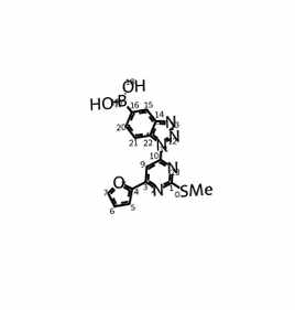 CSc1nc(-c2ccco2)cc(-n2nnc3cc(B(O)O)ccc32)n1